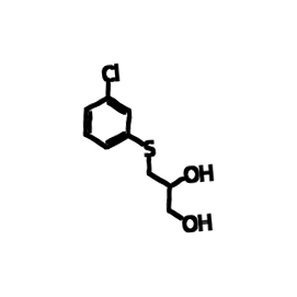 OCC(O)CSc1cccc(Cl)c1